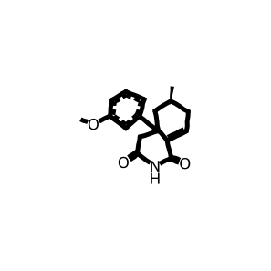 COc1cccc(C23CC(=O)NC(=O)C2=CC[C@H](C)C3)c1